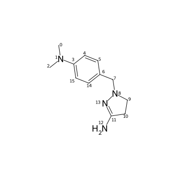 CN(C)c1ccc(CN2CCC(N)=N2)cc1